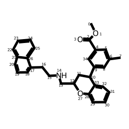 COC(=O)c1cc(C)cc(C2CC(CNCCc3cccc4ccccc34)Oc3ccccc32)c1